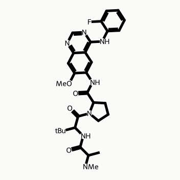 CNC(C)C(=O)NC(C(=O)N1CCCC1C(=O)Nc1cc2c(Nc3ccccc3F)ncnc2cc1OC)C(C)(C)C